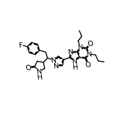 CCCn1c(=O)c2[nH]c(-c3cnn(C(Cc4ccc(F)cc4)C4CNC(=O)C4)c3)nc2n(CCC)c1=O